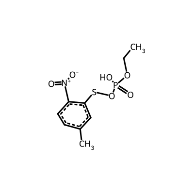 CCOP(=O)(O)OSc1cc(C)ccc1[N+](=O)[O-]